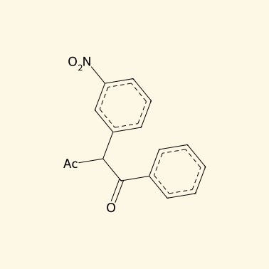 CC(=O)C(C(=O)c1ccccc1)c1cccc([N+](=O)[O-])c1